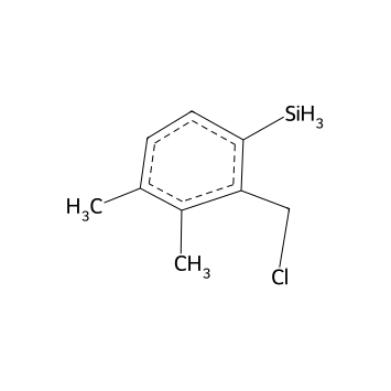 Cc1ccc([SiH3])c(CCl)c1C